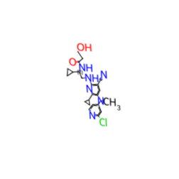 CN(c1ccnc(Cl)c1)c1cc(C#N)c(NC[C@H](NC(=O)CCO)C2CC2)nc1C1CC1